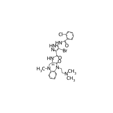 CN(C)CCN1C(=O)[C@H](NC(=O)c2n[nH]c(NC(=O)c3ccccc3Cl)c2Br)CN(C)c2ccccc21